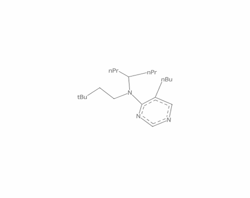 CCCCc1cncnc1N(CCC(C)(C)C)C(CCC)CCC